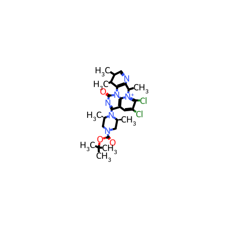 CC1C=NC2=C(C1C)n1c(=O)nc(N3[C@@H](C)CN(C(=O)OC(C)(C)C)C[C@@H]3C)c3cc(Cl)c(Cl)[n+](c31)C2C